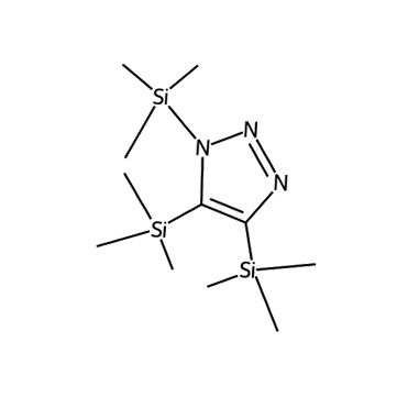 C[Si](C)(C)c1nnn([Si](C)(C)C)c1[Si](C)(C)C